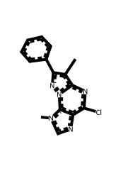 Cc1c(-c2ccccc2)nn2c1nc(Cl)c1ncn(C)c12